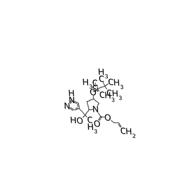 C=CCOC(=O)N1CC(O[Si](C)(C)C(C)(C)C)CC1C(C)(O)c1cn[nH]c1